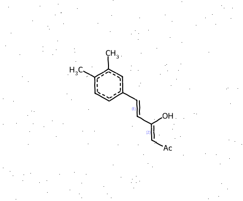 CC(=O)/C=C(O)/C=C/c1ccc(C)c(C)c1